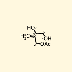 C=CCOC(C)=O.OCCO